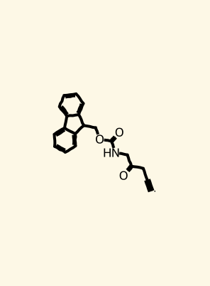 [C]#CCC(=O)CNC(=O)OCC1c2ccccc2-c2ccccc21